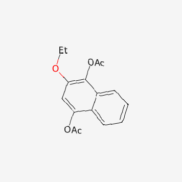 CCOc1cc(OC(C)=O)c2ccccc2c1OC(C)=O